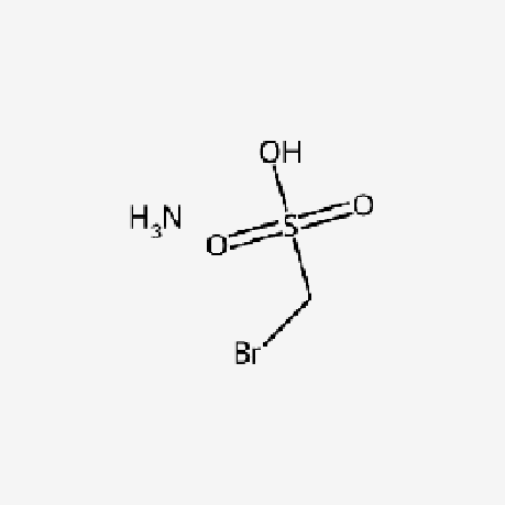 N.O=S(=O)(O)CBr